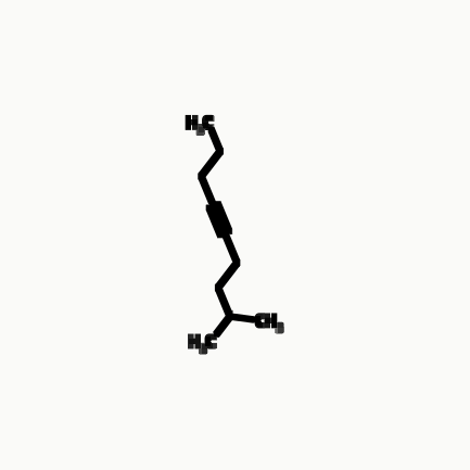 CCCC#CCC[C](C)C